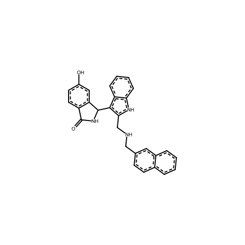 O=C1NC(c2c(CNCc3ccc4ccccc4c3)[nH]c3ccccc23)c2cc(O)ccc21